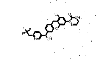 O=C1NCC=NN1c1cc(Cl)c(Cc2ccc(C(O)c3ccc(CC(F)(F)F)nc3)cc2)c(Cl)c1